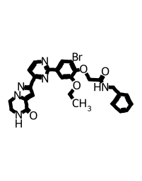 CCOc1cc(-c2nccc(-c3cc4n(n3)CCNC4=O)n2)cc(Br)c1OCC(=O)NCc1ccccc1